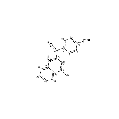 Cc1nc(C(=O)c2ccc(F)cc2)nc2ccccc12